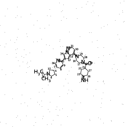 CC(C)N1CC[C@@H](c2ccc(-c3cc4c(N5CCN(C(=O)C6CCC(=N)CC6)CC5)ccnn4c3)nc2)C1